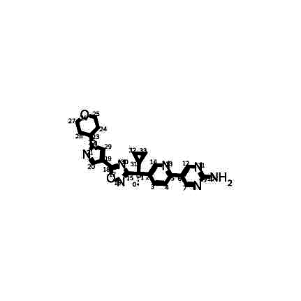 C[C@](c1ccc(-c2cnc(N)nc2)nc1)(c1noc(-c2cnn(C3CCOCC3)c2)n1)C1CC1